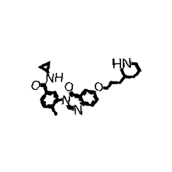 Cc1ccc(C(=O)NC2CC2)cc1-n1cnc2ccc(OCCCC3CCCNC3)cc2c1=O